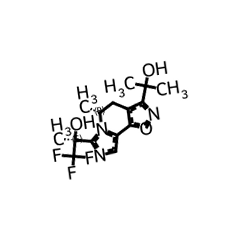 C[C@@H]1Cc2c(C(C)(C)O)noc2-c2cnc([C@](C)(O)C(F)(F)F)n21